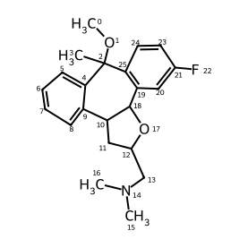 COC1(C)c2ccccc2C2CC(CN(C)C)OC2c2cc(F)ccc21